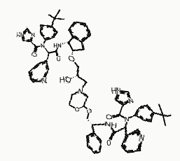 CC(C)(C)c1ccc(N(C(=O)c2c[nH]cn2)C(C(=O)N[C@@H](COC2CN(C[C@H](O)CO[C@H]3Cc4ccccc4[C@H]3NC(=O)C(c3cccnc3)N(C(=O)c3c[nH]cn3)c3ccc(C(C)(C)C)cc3)CCO2)c2ccccc2)c2cccnc2)cc1